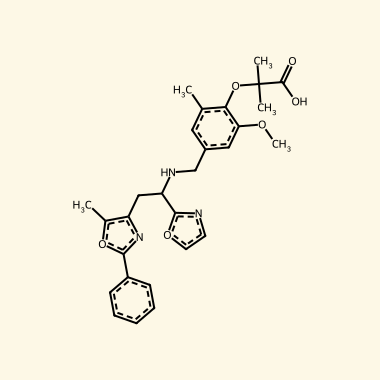 COc1cc(CNC(Cc2nc(-c3ccccc3)oc2C)c2ncco2)cc(C)c1OC(C)(C)C(=O)O